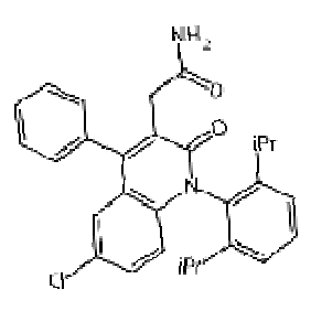 CC(C)c1cccc(C(C)C)c1-n1c(=O)c(CC(N)=O)c(-c2ccccc2)c2cc(Cl)ccc21